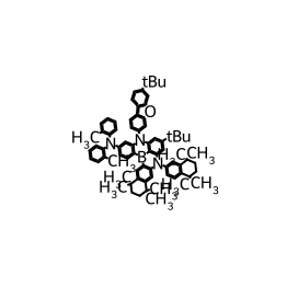 Cc1ccccc1N(c1ccc2c(c1)N(c1ccc3c(c1)oc1cc(C(C)(C)C)ccc13)c1cc(C(C)(C)C)cc3c1B2c1cc2c(cc1N3c1ccc3c(c1)C(C)(C)CCC3(C)C)C(C)(C)CCC2(C)C)c1ccccc1C